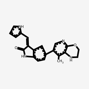 Cc1c(-c2ccc3c(c2)/C(=C/c2ccc[nH]2)C(=O)N3)cnc2c1NCCO2